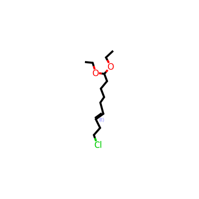 CCOC(CCCC/C=C/CCCl)OCC